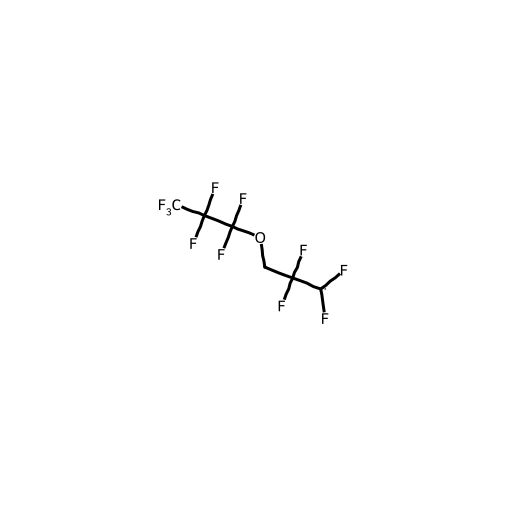 F[C](F)C(F)(F)COC(F)(F)C(F)(F)C(F)(F)F